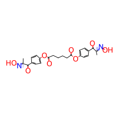 C/C(=N\O)C(=O)c1ccc(OC(=O)CCCCC(=O)Oc2ccc(C(=O)/C(C)=N/O)cc2)cc1